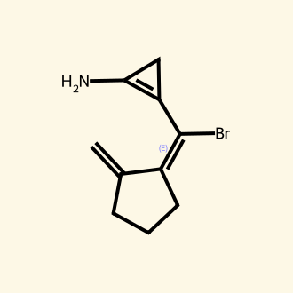 C=C1CCC/C1=C(\Br)C1=C(N)C1